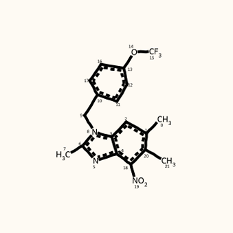 Cc1cc2c(nc(C)n2Cc2ccc(OC(F)(F)F)cc2)c([N+](=O)[O-])c1C